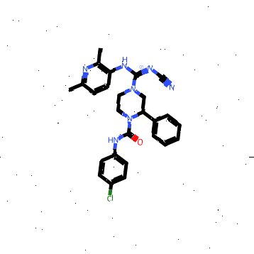 Cc1ccc(N/C(=N/C#N)N2CCN(C(=O)Nc3ccc(Cl)cc3)C(c3ccccc3)C2)c(C)n1